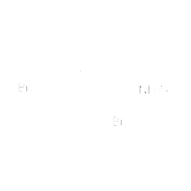 CC(=O)Nc1ccc2cc(Br)ccc2c1Br